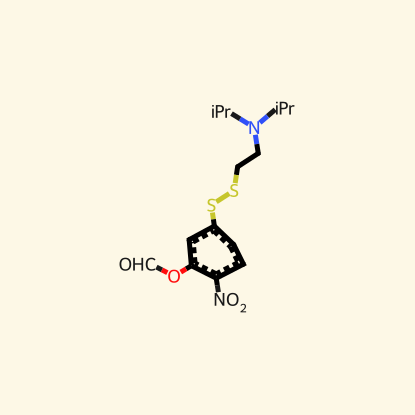 CC(C)N(CCSSc1ccc([N+](=O)[O-])c(OC=O)c1)C(C)C